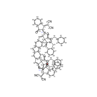 N#CC(C#N)=C1/C(=N/C2=Cc3cc4sc5cc6c(cc5c4cc3C2(C(=O)OCc2ccccc2)C(=O)OCc2ccccc2)C(C(=O)OCc2ccccc2)(C(=O)OCc2ccccc2)C(/N=C2\C(=O)c3ccccc3C2=C(C#N)C#N)=C6)C(=O)c2ccccc21